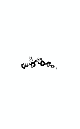 Cc1c(CN(C)Cc2ccc(-c3ccn(C)n3)cc2F)ccnc1OCC1CCCO1